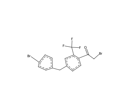 O=C(CBr)c1ccc(Cc2ccc(Br)cc2)cc1C(F)(F)F